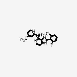 Cc1ccnc(Nc2nccc3nc(-c4c(F)cccc4Cl)[nH]c23)c1